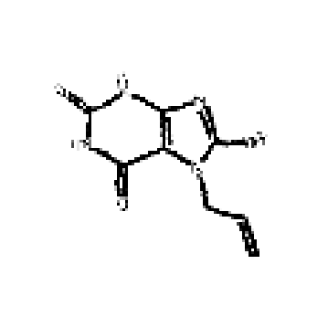 C=CCn1c(CCC)nc2[nH]c(=O)[nH]c(=O)c21